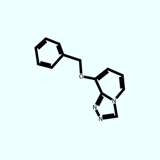 c1ccc(COc2cccn3cnnc23)cc1